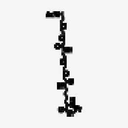 CC(=O)NCCOCCOCC(=O)NCCOCCOCC(=O)NCCCCC(NC(C)C)C(=O)C(C)C